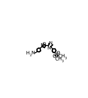 CC(C)S(=O)(=O)c1ccc(-c2cncc(-c3cc(-c4ccc(CN)cc4)no3)n2)cc1